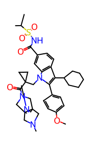 COc1ccc(-c2c(C3CCCCC3)c3ccc(C(=O)NS(=O)(=O)C(C)C)cc3n2CC2(C(=O)N3CC45CN(C)CC4(CN(C)C5)C3)CC2)cc1